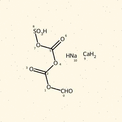 O=COC(=O)OC(=O)OS(=O)(=O)O.[CaH2].[NaH]